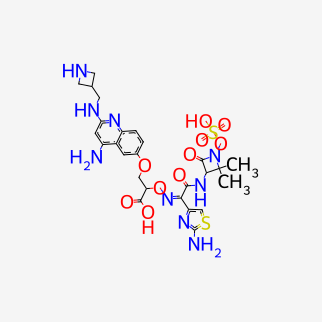 CC1(C)C(NC(=O)C(=NOC(COc2ccc3nc(NCC4CNC4)cc(N)c3c2)C(=O)O)c2csc(N)n2)C(=O)N1OS(=O)(=O)O